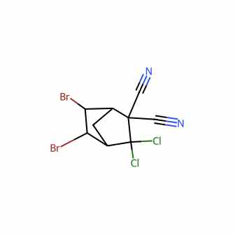 N#CC1(C#N)C2CC(C(Br)C2Br)C1(Cl)Cl